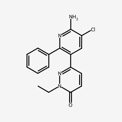 CCn1nc(-c2cc(Cl)c(N)nc2-c2ccccc2)ccc1=O